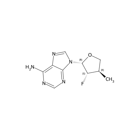 C[C@@H]1CO[C@@H](n2cnc3c(N)ncnc32)[C@H]1F